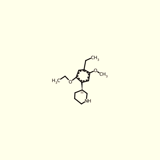 CCOc1cc(CC)c(OC)cc1[C@@H]1CCCNC1